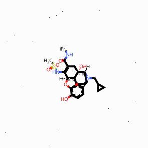 CC(C)NC(=O)C1=C(NS(C)(=O)=O)[C@@H]2Oc3c(O)ccc4c3[C@@]23CCN(CC2CC2)[C@H](C4)[C@]3(O)C1